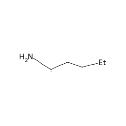 [CH2]CCC[CH]N